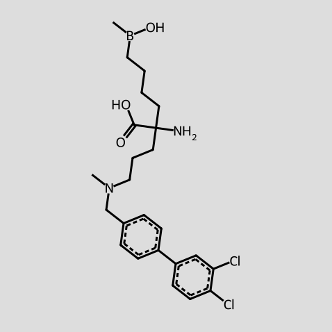 CB(O)CCCCC(N)(CCCN(C)Cc1ccc(-c2ccc(Cl)c(Cl)c2)cc1)C(=O)O